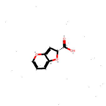 O=C(O)[C@H]1C=C2OC=CC=C2O1